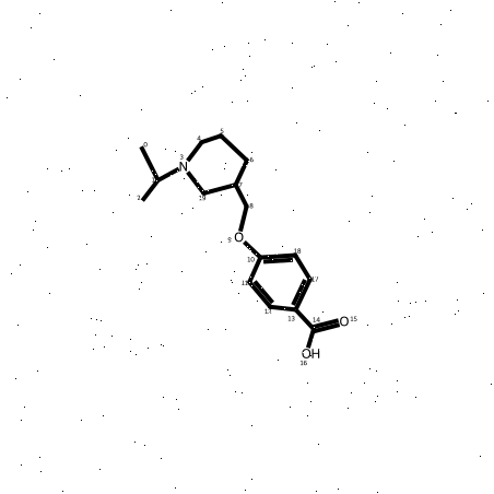 CC(C)N1CCCC(COc2ccc(C(=O)O)cc2)C1